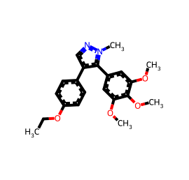 CCOc1ccc(-c2cnn(C)c2-c2cc(OC)c(OC)c(OC)c2)cc1